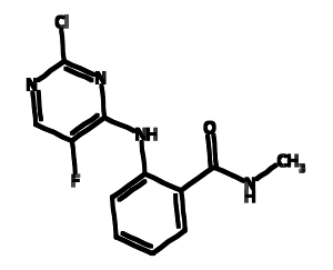 CNC(=O)c1ccccc1Nc1nc(Cl)ncc1F